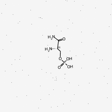 NC(=O)[C@@H](N)COP(=O)(O)O